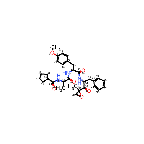 COc1ccc(CC(NC(=O)C(C)NC(=O)C2CCCC2)C(=O)NC(Cc2ccccc2)C(=O)C2(C)CO2)cc1